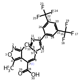 Cc1noc(C)c1/C(=C\n1cnc(-c2cc(C(F)(F)F)cc(C(F)(F)F)c2)n1)C(=O)O